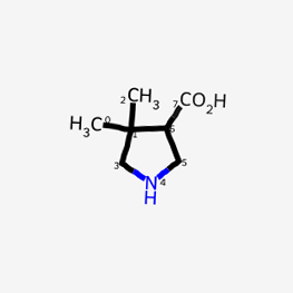 CC1(C)CNCC1C(=O)O